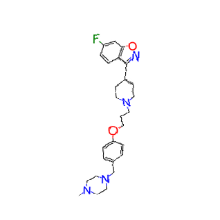 CN1CCN(Cc2ccc(OCCCN3CCC(c4noc5cc(F)ccc45)CC3)cc2)CC1